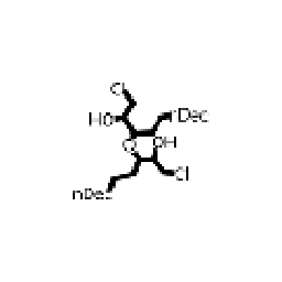 CCCCCCCCCCCCC(OC(CCCCCCCCCCCC)C(O)CCl)C(O)CCl